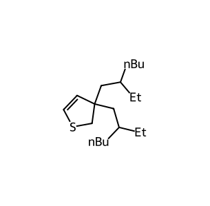 CCCCC(CC)CC1(CC(CC)CCCC)C=CSC1